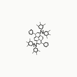 Cc1cc(N(C2=CC(c3ccccc3)=C3C=CC4=C5C(=CC=C2C35)C(c2ccccc2)C=C4N(c2cc(C)c(C)c(C)c2)c2cc(C)c(C)c(C)c2)c2cc(C)c(C)c(C)c2)cc(C)c1C